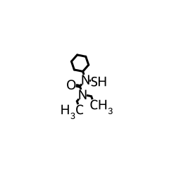 CCN(CC)C(=O)N(S)C1CCCCC1